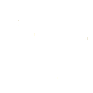 CCCCCCCCCCCCCCN(CCCCCC(=O)OCCCCCCC)CCC1CCN(C(=O)OC(C)(C)C)C1